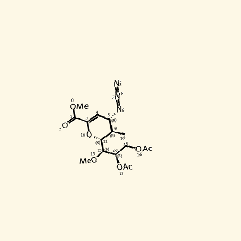 COC(=O)C1=C[C@H](N=[N+]=[N-])[C@@H](C)[C@H]([C@H](OC)[C@@H](COC(C)=O)OC(C)=O)O1